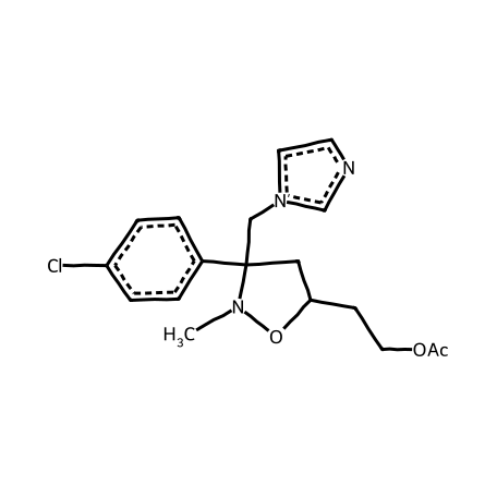 CC(=O)OCCC1CC(Cn2ccnc2)(c2ccc(Cl)cc2)N(C)O1